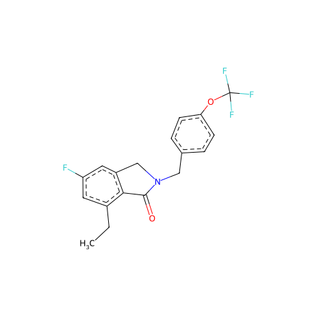 CCc1cc(F)cc2c1C(=O)N(Cc1ccc(OC(F)(F)F)cc1)C2